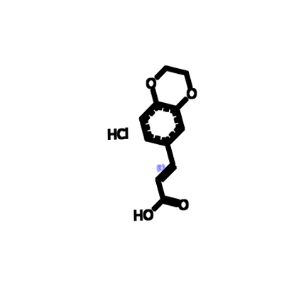 Cl.O=C(O)/C=C/c1ccc2c(c1)OCCO2